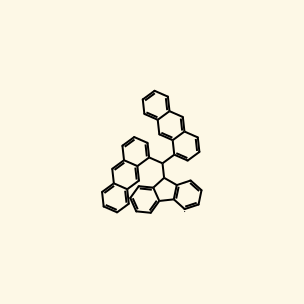 [c]1cccc2c1-c1ccccc1C2C(c1cccc2cc3ccccc3cc12)c1cccc2cc3ccccc3cc12